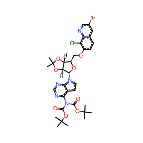 CC(C)(C)OC(=O)N(C(=O)OC(C)(C)C)c1ncnc2c1ccn2[C@@H]1O[C@H](COc2ccc3cc(Br)cnc3c2Cl)[C@H]2OC(C)(C)O[C@H]21